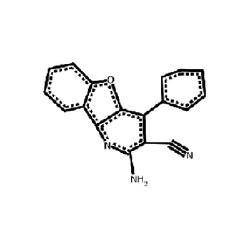 N#Cc1c(N)nc2c(oc3ccccc32)c1-c1ccccc1